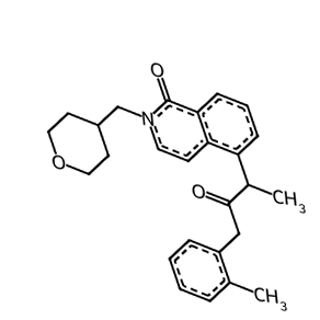 Cc1ccccc1CC(=O)C(C)c1cccc2c(=O)n(CC3CCOCC3)ccc12